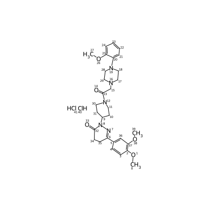 COc1ccc(C2=NN(C3CCN(C(=O)CN4CCN(c5ccccc5OC)CC4)CC3)C(=O)CC2)cc1OC.Cl.Cl